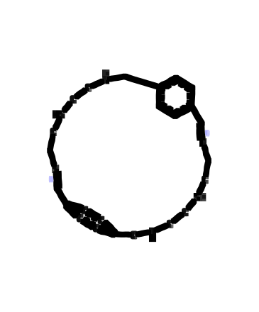 C1=N/CCNCCNCc2ccc(cc2)/C=N/CCNCCNCc2ccc/1cc2